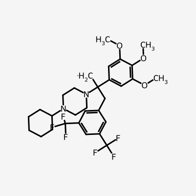 [CH2]C(Cc1cc(C(F)(F)F)cc(C(F)(F)F)c1)(c1cc(OC)c(OC)c(OC)c1)N1CCN(C2CCCCC2)CC1